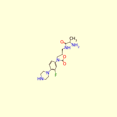 CC(N)C(=O)NC[C@@H]1CN(c2ccc(N3CCNCC3)c(F)c2)C(=O)O1